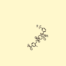 Cc1cc(C(=O)N(C)C)ccc1CCS(=O)(=O)N1CCC2(CC1)N=C(c1cccc(C(F)(F)F)c1)NC2=O